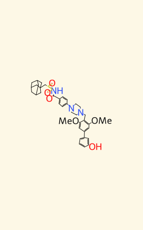 COc1cc(-c2cccc(O)c2)cc(OC)c1CN1CCN(c2ccc(C(=O)NS(=O)(=O)CC34CC5CC(CC(C5)C3)C4)cc2)CC1